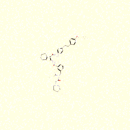 CCOC(=O)C1CCN(CC(=O)N(Cc2cccc(C(=O)Nc3sc4c(c3C(=O)Nc3ccc(CCc5ccc(C(=O)OC)cc5)cc3)CCCC4)c2)C(CC)CC)CC1